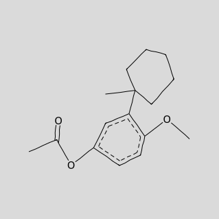 COc1ccc(OC(C)=O)cc1C1(C)CCCCC1